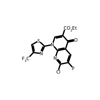 CCOC(=O)c1cn(-c2nc(C(F)(F)F)cs2)c2nc(Cl)c(F)cc2c1=O